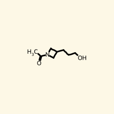 CC(=O)N1CC(CCCO)C1